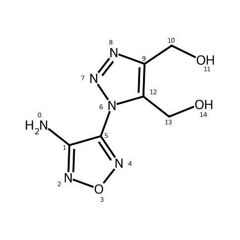 Nc1nonc1-n1nnc(CO)c1CO